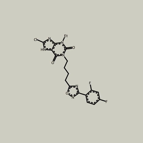 CCn1c(=O)n(CCCCc2nc(-c3ccc(F)cc3F)no2)c(=O)c2[nH]c(Cl)nc21